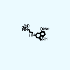 COc1ccc2[nH]cc3c2c1CC(NCCCNS(C)(=O)=O)C3